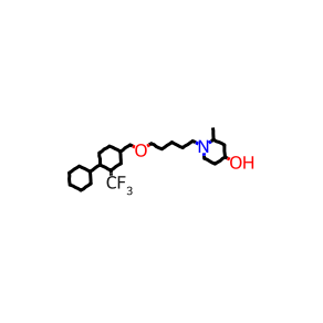 CC1CC(O)CCN1CCCCCOCC1CCC(C2CCCCC2)C(C(F)(F)F)C1